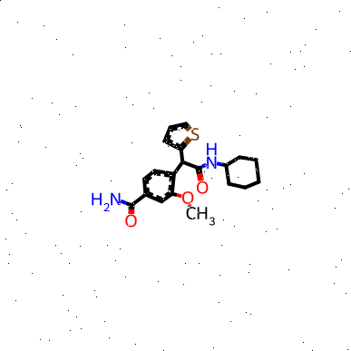 COc1cc(C(N)=O)ccc1C(C(=O)NC1CCCCC1)c1cccs1